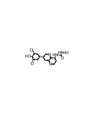 CCNC(=O)Nc1ccnc2cc(-c3cc(Cl)c(O)c(Cl)c3)cnc12